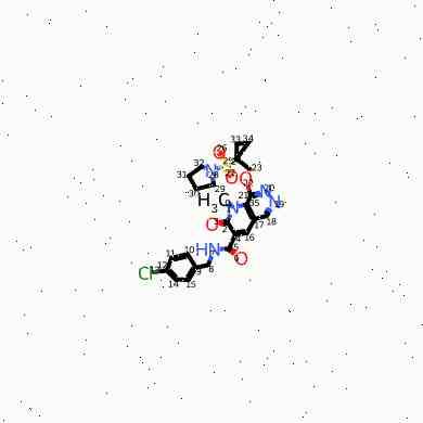 Cn1c(=O)c(C(=O)NCc2ccc(Cl)cc2)cc2cnnc(OCC3(S(=O)(=O)N4CCCC4)CC3)c21